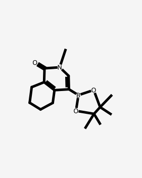 Cn1cc(B2OC(C)(C)C(C)(C)O2)c2c(c1=O)CCCC2